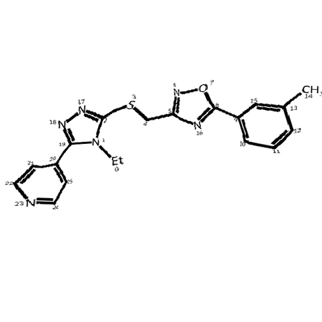 CCn1c(SCc2noc(-c3cccc(C)c3)n2)nnc1-c1ccncc1